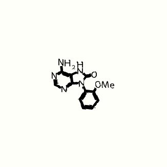 COc1c[c]ccc1-n1c(=O)[nH]c2c(N)ncnc21